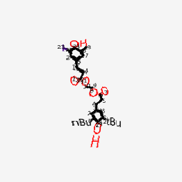 CCCCc1cc(CCC(=O)OCCOC(=O)CCc2cc(C)c(O)c(I)c2)cc(C(C)(C)C)c1O